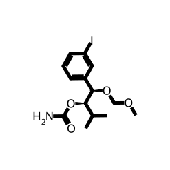 COCO[C@H](c1cccc(I)c1)[C@H](OC(N)=O)C(C)C